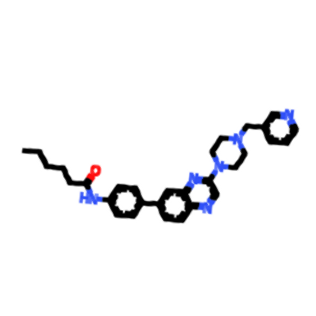 CCCCCC(=O)Nc1ccc(-c2ccc3ncc(N4CCN(Cc5cccnc5)CC4)nc3c2)cc1